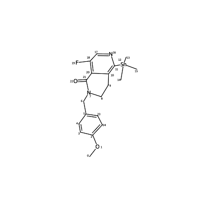 COc1ccc(CN2CCc3[c]([Sn]([CH3])([CH3])[CH3])ncc(F)c3C2=O)cc1